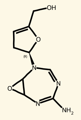 NC1=NC2OC2N([C@H]2CC=C(CO)O2)C=N1